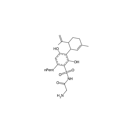 C=C(C)C1CCC(C)=CC1c1c(O)cc(CCCCC)c(S(=O)(=O)NC(=O)CN)c1O